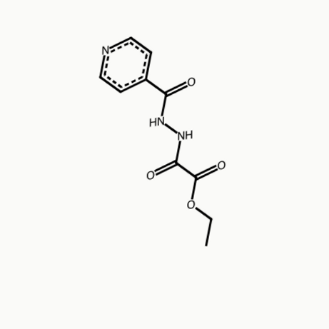 CCOC(=O)C(=O)NNC(=O)c1ccncc1